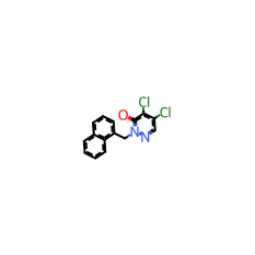 O=c1c(Cl)c(Cl)cnn1Cc1cccc2ccccc12